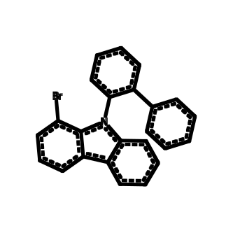 Brc1cccc2c3ccccc3n(-c3ccccc3-c3ccccc3)c12